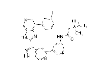 CC(C)(C)CC(=O)Nc1cncc(-c2cc3c(-c4nc5c(-c6cccc(F)c6)cncc5[nH]4)n[nH]c3cn2)c1